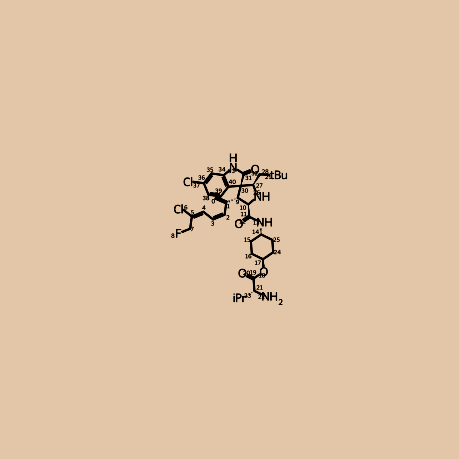 C=C(/C=C\C=C(\Cl)CF)[C@H]1[C@H](C(=O)N[C@H]2CC[C@H](OC(=O)[C@H](N)C(C)C)CC2)N[C@H](CC(C)(C)C)[C@]12C(=O)Nc1cc(Cl)ccc12